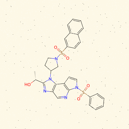 C[C@@H](O)c1nc2cnc3c(ccn3S(=O)(=O)c3ccccc3)c2n1C1CCN(S(=O)(=O)c2ccc3ccccc3c2)C1